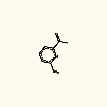 Bc1cccc(C(=C)C)n1